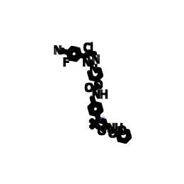 CC(C)(C)/C(=C\C(=O)NOC1CCCCO1)c1ccc(CNC(=O)OC2CCN(c3ncc(Cl)c(-c4ccc(C#N)c(F)c4)n3)CC2)cc1